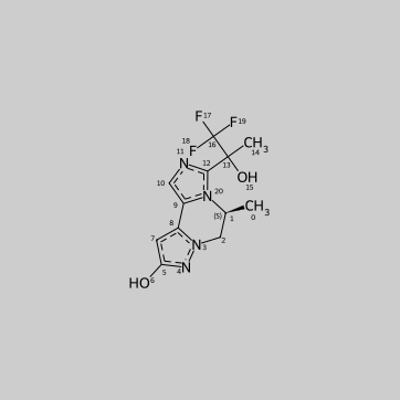 C[C@H]1Cn2nc(O)cc2-c2cnc(C(C)(O)C(F)(F)F)n21